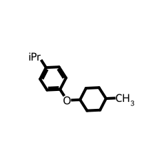 CC1CCC(Oc2ccc(C(C)C)cc2)CC1